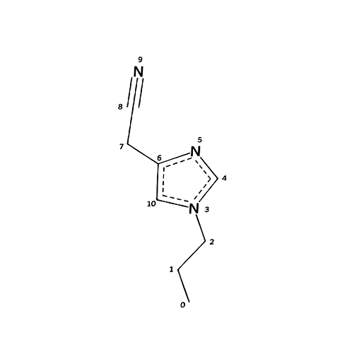 CCCn1cnc(CC#N)c1